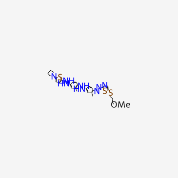 COCCCSc1cnc(/N=N/c2ccc(NNc3ccc(NNc4ccc(N5CCCC5)s4)cc3C)cc2C)s1